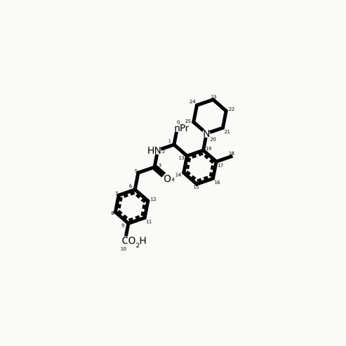 CCCC(NC(=O)Cc1ccc(C(=O)O)cc1)c1cccc(C)c1N1CCCCC1